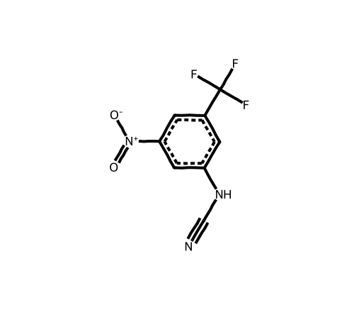 N#CNc1cc([N+](=O)[O-])cc(C(F)(F)F)c1